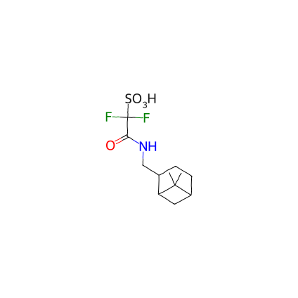 CC1(C)C2CCC(CNC(=O)C(F)(F)S(=O)(=O)O)C1C2